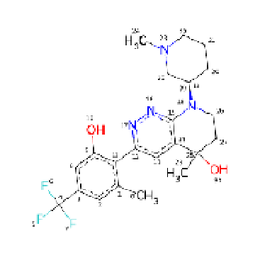 Cc1cc(C(F)(F)F)cc(O)c1-c1cc2c(nn1)N([C@@H]1CCCN(C)C1)CCC2(C)O